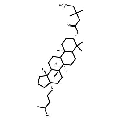 CC(=O)N(C)CCC[C@]12CCC[C@@H]1[C@H]1CCC3[C@@]4(C)CC[C@H](OC(=O)CC(C)(C)CC(=O)O)C(C)(C)C4CC[C@@]3(C)[C@]1(C)CC2